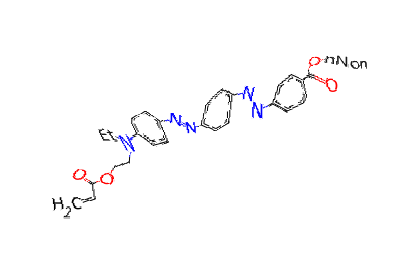 C=CC(=O)OCCN(CC)c1ccc(N=Nc2ccc(N=Nc3ccc(C(=O)OCCCCCCCCC)cc3)cc2)cc1